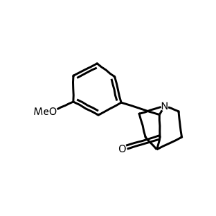 COc1cccc(C2C(=O)C3CCN2CC3)c1